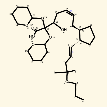 CCCOC(C)(C)C/C=C/[C@H]1CCC[C@@H]1C/C=C\CC(O)C(OC1CCCCO1)(OC1CCCCO1)C(=O)O